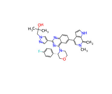 C=C1c2[nH]ccc2C(c2ccc3nc(-c4cnn(CC(C)(C)O)c4)nc(N4CCOC[C@@H]4c4ccc(F)cc4)c3c2)=CN1C